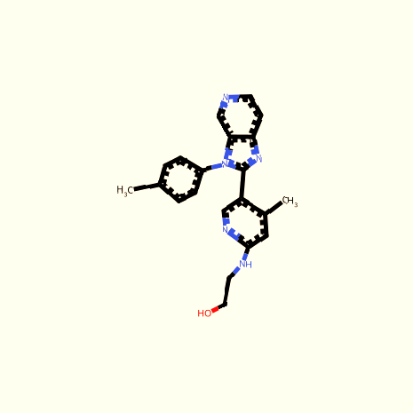 Cc1ccc(-n2c(-c3cnc(NCCO)cc3C)nc3ccncc32)cc1